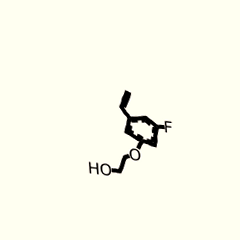 C=Cc1cc(F)cc(OCCO)c1